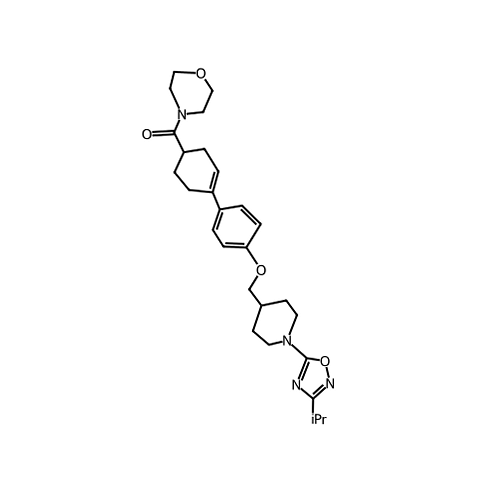 CC(C)c1noc(N2CCC(COc3ccc(C4=CCC(C(=O)N5CCOCC5)CC4)cc3)CC2)n1